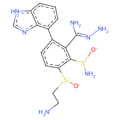 NCC[S+]([O-])c1ccc(-c2cccc3[nH]cnc23)c(/C(N)=N/N)c1[S+](N)[O-]